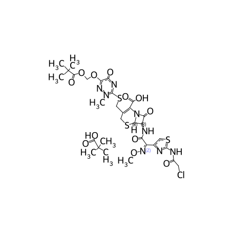 CC(C)(C)C(=O)O.CO/N=C(\C(=O)N[C@@H]1C(=O)N2C(C(=O)O)=C(CSc3nc(=O)c(OCOC(=O)C(C)(C)C)nn3C)CS[C@H]12)c1csc(NC(=O)CCl)n1